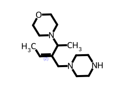 C/C=C(/CN1CCNCC1)C(C)N1CCOCC1